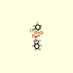 O=C(CS(=O)(=O)c1ccccc1Cl)N1Cc2ccccc2C1